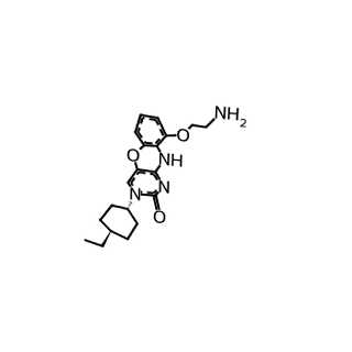 CC[C@H]1CC[C@H](n2cc3c(nc2=O)Nc2c(OCCN)cccc2O3)CC1